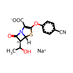 CC(O)[C@H]1C(=O)N2C(C(=O)[O-])=C(Oc3ccc(C#N)cc3)S[C@H]12.[Na+]